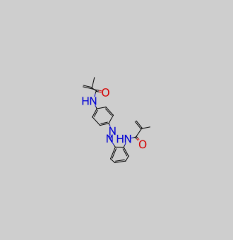 C=C(C)C(=O)Nc1ccc(N=Nc2ccccc2NC(=O)C(=C)C)cc1